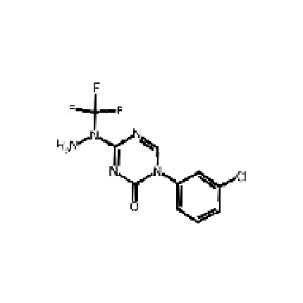 NN(c1ncn(-c2cccc(Cl)c2)c(=O)n1)C(F)(F)F